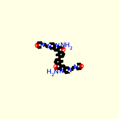 Cc1c(-c2cc3c(nc2C(N)=O)CCN(CCN2CCOCC2)C3)cccc1-c1cccc(-c2cc3c(nc2C(N)=O)CCN(CCN2CCOCC2)C3)c1C